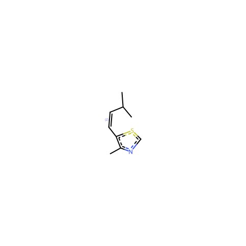 Cc1ncsc1/C=C\C(C)C